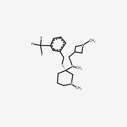 CN1CC(CN(C)[C@]2(CCc3cccc(C(F)(F)F)c3)CCCN(C)C2)C1